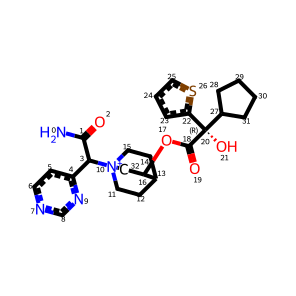 NC(=O)C(c1ccncn1)[N+]12CCC(CC1)C(OC(=O)[C@@](O)(c1cccs1)C1CCCC1)C2